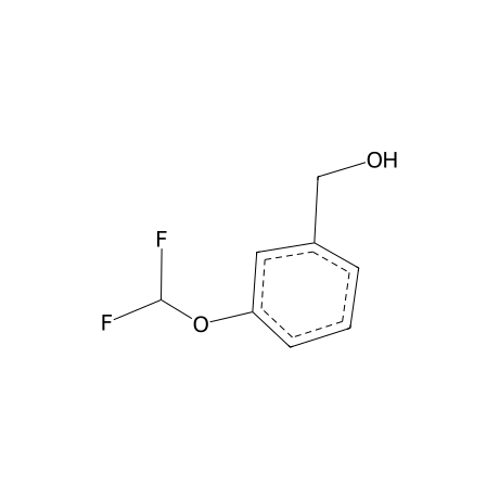 OCc1cccc(OC(F)F)c1